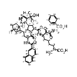 CN(CCCCC(NC(=O)[C@@H]1C[C@H](n2nncc2C(C)(C)O)CN1C(=O)C(CCC1C[C@@H]2CC[C@H]1C2)NC(=O)c1ccc2ccccc2c1)C(=O)C(N)=O)C(=O)O.O=C(O)c1ccccc1